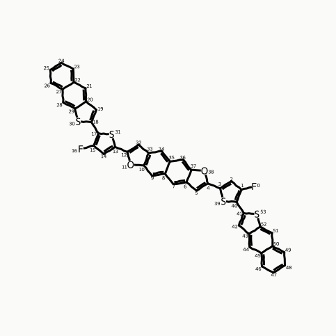 Fc1cc(-c2cc3cc4cc5oc(-c6cc(F)c(-c7cc8cc9ccccc9cc8s7)s6)cc5cc4cc3o2)sc1-c1cc2cc3ccccc3cc2s1